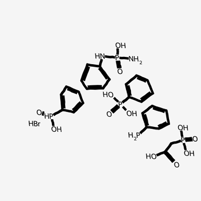 Br.NP(=O)(O)Nc1ccccc1.O=C(O)CP(=O)(O)O.O=P(O)(O)c1ccccc1.O=[PH](O)c1ccccc1.Pc1ccccc1